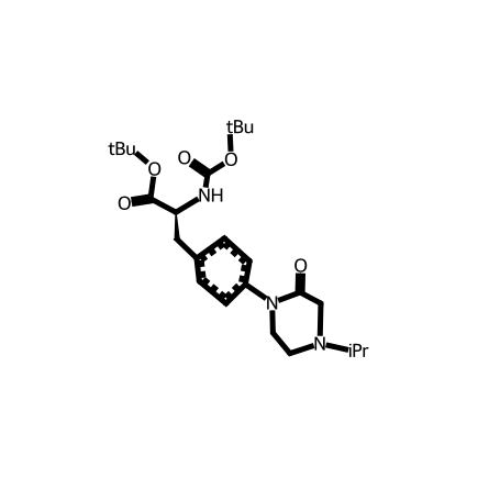 CC(C)N1CCN(c2ccc(C[C@H](NC(=O)OC(C)(C)C)C(=O)OC(C)(C)C)cc2)C(=O)C1